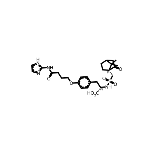 CC1(C)C2CC[C@]1(CS(=O)(=O)N[C@@H](Cc1ccc(OCCCC(=O)Nc3ncc[nH]3)cc1)C(=O)O)C(=O)C2